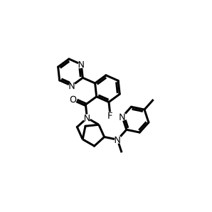 Cc1ccc(N(C)C2CC3CC2N(C(=O)c2c(F)cccc2-c2ncccn2)C3)nc1